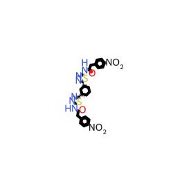 O=C(Cc1ccc([N+](=O)[O-])cc1)Nc1nnc([C@@H]2CCC[C@@H](c3nnc(NC(=O)Cc4ccc([N+](=O)[O-])cc4)s3)C2)s1